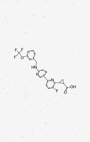 O=C(O)C1CC1c1nc(-c2ccc(NCc3cccc(OC(F)(F)F)c3)nc2)ccc1F